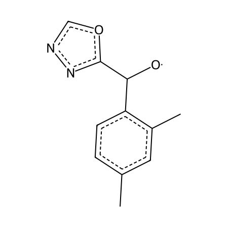 Cc1ccc(C([O])c2nnco2)c(C)c1